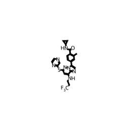 Cc1cc(-c2cnc3c(NCCC(F)(F)F)cc(Sc4cnccn4)nn23)ccc1C(=O)NC1CC1